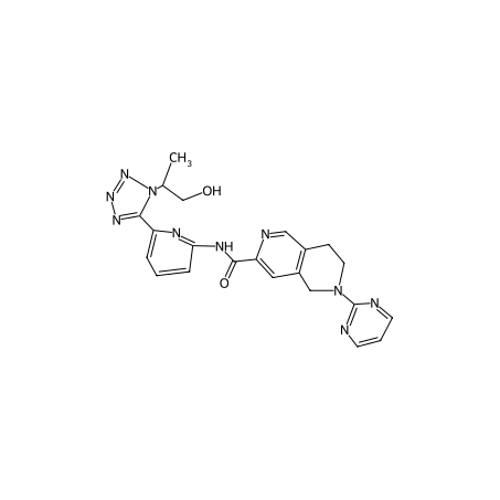 CC(CO)n1nnnc1-c1cccc(NC(=O)c2cc3c(cn2)CCN(c2ncccn2)C3)n1